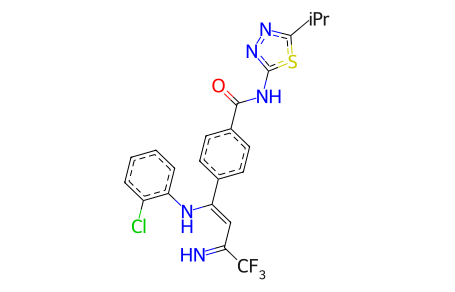 CC(C)c1nnc(NC(=O)c2ccc(/C(=C/C(=N)C(F)(F)F)Nc3ccccc3Cl)cc2)s1